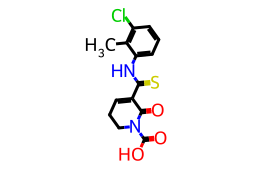 Cc1c(Cl)cccc1NC(=S)C1=CCCN(C(=O)O)C1=O